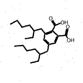 CCCCC(CC)Cc1cc(CC(CC)CCCC)c(C(=O)O)c(C(=O)O)c1